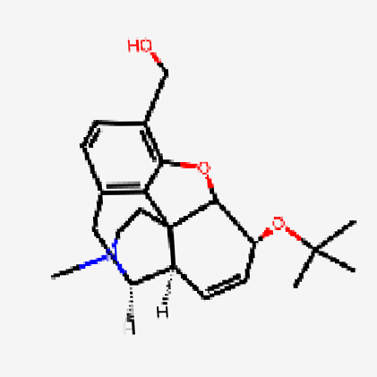 CN1CCC23c4c5ccc(CO)c4OC2[C@@H](OC(C)(C)C)C=C[C@H]3[C@H]1C5